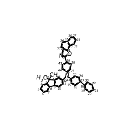 CC1(C)c2ccccc2-c2ccc(N(c3ccc(-c4ccccc4)cc3)c3ccc(-c4nc5ccc6ccccc6c5o4)cc3)cc21